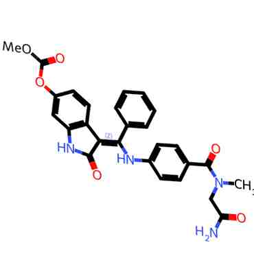 COC(=O)Oc1ccc2c(c1)NC(=O)/C2=C(\Nc1ccc(C(=O)N(C)CC(N)=O)cc1)c1ccccc1